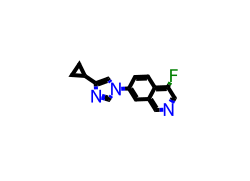 Fc1cncc2cc(-n3cnc(C4CC4)c3)ccc12